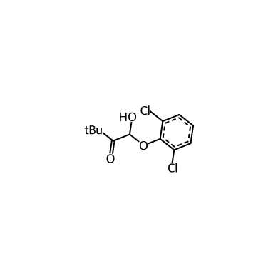 CC(C)(C)C(=O)C(O)Oc1c(Cl)cccc1Cl